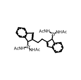 CC(=O)[NH][Zr]([NH]C(C)=O)[CH]1C(CCC2=Cc3ccccc3[CH]2[Zr]([NH]C(C)=O)[NH]C(C)=O)=Cc2ccccc21